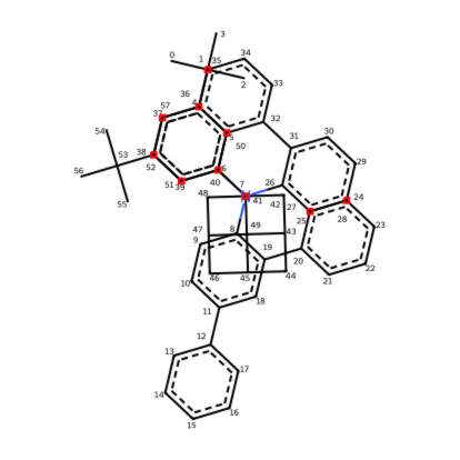 CC(C)(C)c1cc(N(c2ccc(-c3ccccc3)cc2-c2ccccc2)c2ccccc2-c2cccc3cccc(C45CC6CC7CC(C4)C765)c23)cc(C(C)(C)C)c1